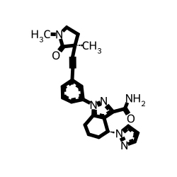 CN1CC[C@@](C)(C#Cc2cccc(-n3nc(C(N)=O)c4c3CCC[C@H]4n3cccn3)c2)C1=O